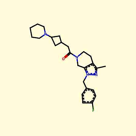 Cc1nn(Cc2ccc(F)cc2)c2c1CCN(C(=O)CC1CC(N3CCCCC3)C1)C2